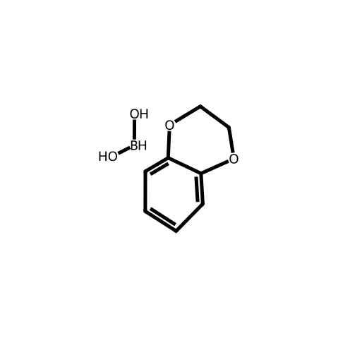 OBO.c1ccc2c(c1)OCCO2